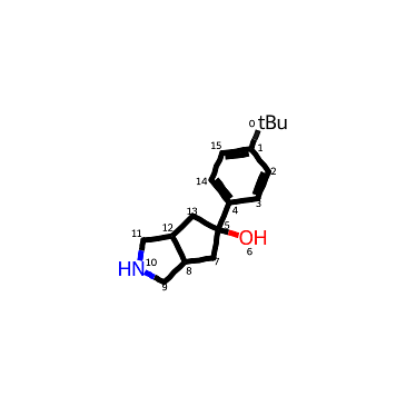 CC(C)(C)c1ccc(C2(O)CC3CNCC3C2)cc1